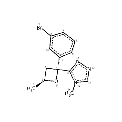 C[C@H]1C[C@@](c2cccc(Br)c2)(c2nncn2C)O1